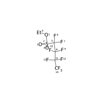 CCOS(=O)(=O)C(F)(F)C(F)(F)C(F)(F)C(F)(F)F